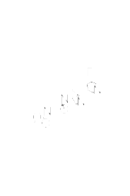 Cc1nc(-c2cncc(F)c2)sc1N(C)C(=O)C1CCCN(C(=O)OC(C)(C)C)C1